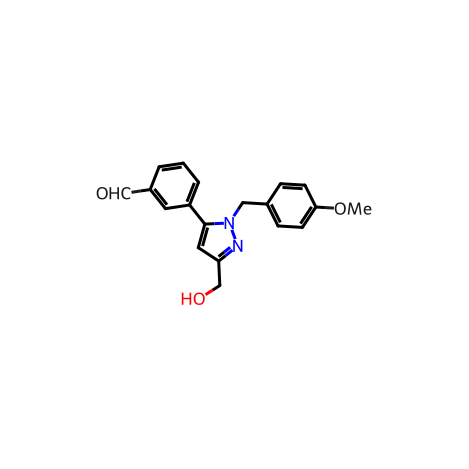 COc1ccc(Cn2nc(CO)cc2-c2cccc(C=O)c2)cc1